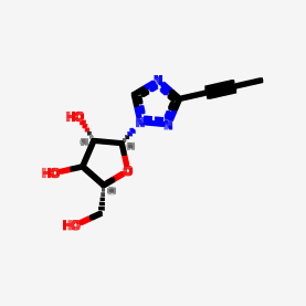 CC#Cc1ncn([C@@H]2O[C@H](CO)C(O)[C@@H]2O)n1